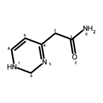 NC(=O)CC1=NCNC=C1